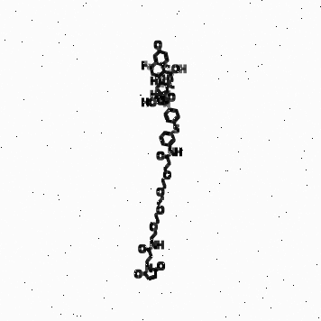 C[C@]12C=CC(=O)C=C1[C@@H](F)C[C@@H]1C2[C@@H](O)C[C@@]2(C)[C@H]1C[C@H]1O[C@@H](c3ccc(Sc4cccc(NC(=O)CCOCCOCCOCCOCCNC(=O)CCN5C(=O)C=CC5=O)c4)cc3)O[C@]12C(=O)CO